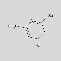 CC(C)(C)c1cccc(C(=O)O)n1.Cl